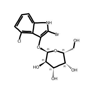 OC[C@H]1O[C@H](Oc2c(Br)[nH]c3cccc(Cl)c23)[C@H](O)[C@@H](O)[C@H]1O